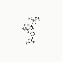 CC1CCC(n2nc(-c3ccc(Oc4ccc(F)cc4F)cc3)c(C(N)=O)c2N)CN1C#N